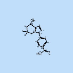 CC1(C)Cc2c(cnn2-c2ccc(C(=O)C(C)(C)C)cc2)C(O)C1